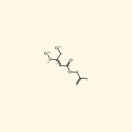 C=C(C)COC(=O)/C=C(\CCl)OCC